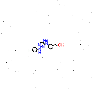 OCCc1cccc(-n2nnc3cnc(Nc4ccc(F)cc4)nc32)c1